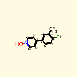 O[n+]1ccc(-c2ccc(F)c(C(F)(F)F)c2)cc1